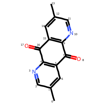 Cc1cnc2c(c1)C(=O)c1ncc(C)cc1C2=O